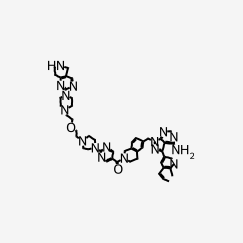 C/C=C\c1cc(-c2nn(Cc3ccc4c(c3)CCN(C(=O)c3cnc(N5CCN(CCOCCN6CCN(c7ncc8c(n7)CCNC8)CC6)CC5)nc3)C4)c3ncnc(N)c23)cnc1C